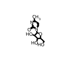 Cc1ccn(C2OC(CO)C(O)C2O)c(=O)n1